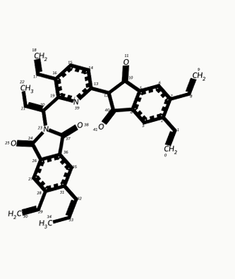 C=Cc1cc2c(cc1C=C)C(=O)C(c1ccc(C=C)c(/C(=C\C)N3C(=O)c4cc(C=C)c(/C=C\C)cc4C3=O)n1)C2=O